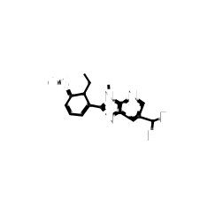 CCC1C(c2nc3cc(C(F)F)cnc3n2C)=CC=CC1=S=O